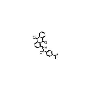 C=C(I)c1ccc(C(=O)Nc2cccc3c2C(=O)c2ccccc2C3=O)cc1